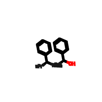 CCC[C@H](NC)c1ccccc1.CCC[C@H](O)c1ccccc1